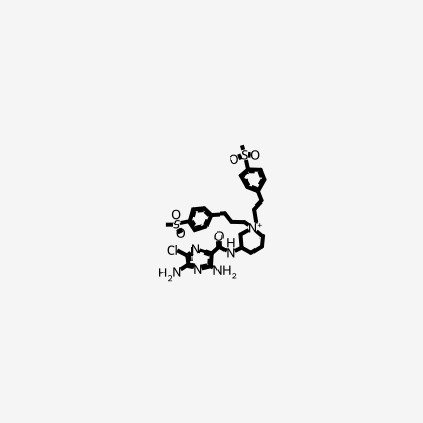 CS(=O)(=O)c1ccc(CCC[N+]2(CCCc3ccc(S(C)(=O)=O)cc3)CCCC(NC(=O)c3nc(Cl)c(N)nc3N)C2)cc1